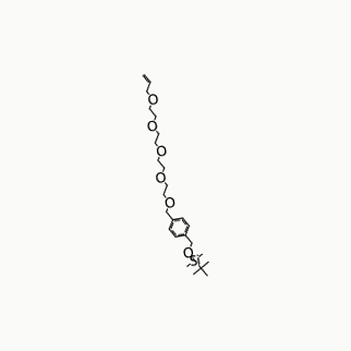 C=CCOCCOCCOCCOCCOCc1ccc(CO[Si](C)(C)C(C)(C)C)cc1